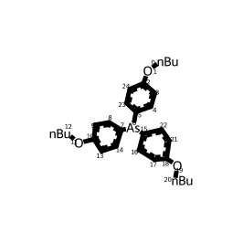 CCCCOc1ccc([As](c2ccc(OCCCC)cc2)c2ccc(OCCCC)cc2)cc1